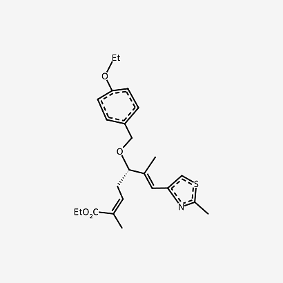 CCOC(=O)/C(C)=C\C[C@H](OCc1ccc(OCC)cc1)/C(C)=C/c1csc(C)n1